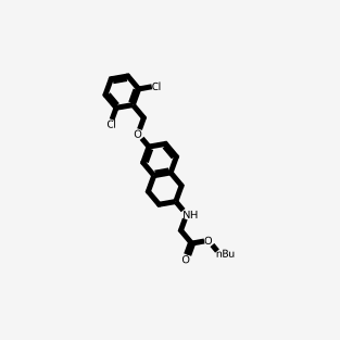 CCCCOC(=O)CNC1CCc2cc(OCc3c(Cl)cccc3Cl)ccc2C1